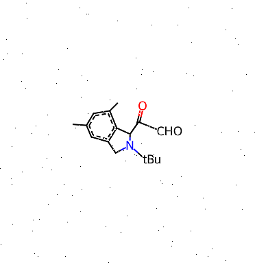 Cc1cc(C)c2c(c1)CN(C(C)(C)C)C2C(=O)C=O